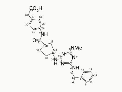 CNc1nc(NCC(C)c2ccccc2)nc(NC2CCC(C(=O)Nc3ccc(CC(=O)O)cc3)CC2)n1